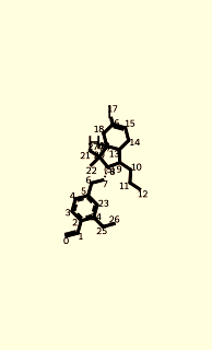 C=Cc1ccc(CC[C@H]2C(CCC)C3CC=C(I)C[C@H]3C2(C)C)cc1CC